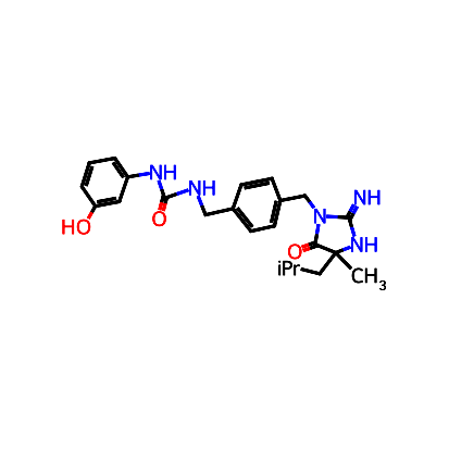 CC(C)CC1(C)NC(=N)N(Cc2ccc(CNC(=O)Nc3cccc(O)c3)cc2)C1=O